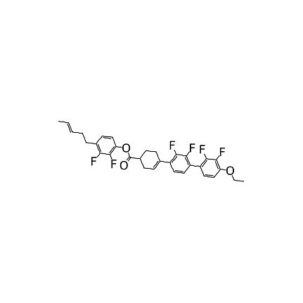 C/C=C/CCc1ccc(OC(=O)C2CC=C(c3ccc(-c4ccc(OCC)c(F)c4F)c(F)c3F)CC2)c(F)c1F